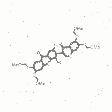 COCOc1cc2occ(-c3c(C(C)=O)cc4c(=O)c5cc(OCOC)c(OCOC)cc5oc4c3C(C)=O)c(=O)c2cc1OCOC